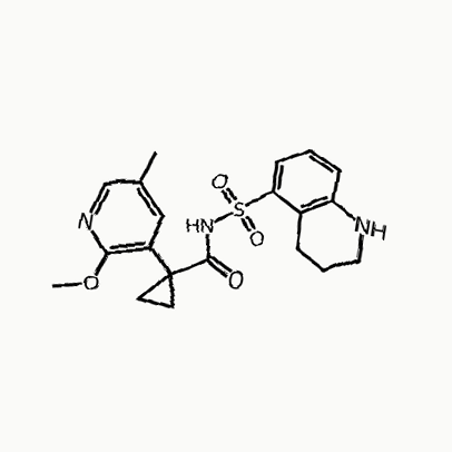 COc1ncc(C)cc1C1(C(=O)NS(=O)(=O)c2cccc3c2CCCN3)CC1